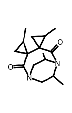 CC1CN2CC(C)N1C(=O)C1(CC1C)C1(CC1C)C2=O